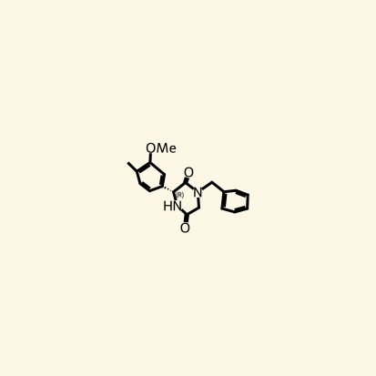 COc1cc([C@H]2NC(=O)CN(Cc3ccccc3)C2=O)ccc1C